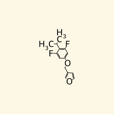 CC(C)c1c(F)cc(OCc2ccoc2)cc1F